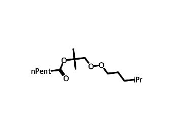 CCCCCC(=O)OC(C)(C)COOCCCC(C)C